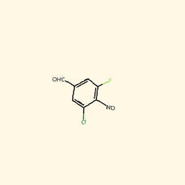 O=Cc1cc(F)c(N=O)c(Cl)c1